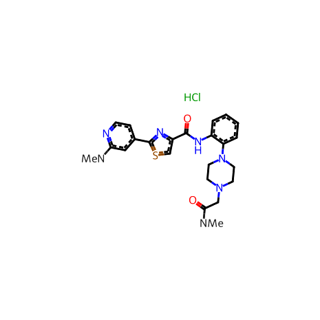 CNC(=O)CN1CCN(c2ccccc2NC(=O)c2csc(-c3ccnc(NC)c3)n2)CC1.Cl